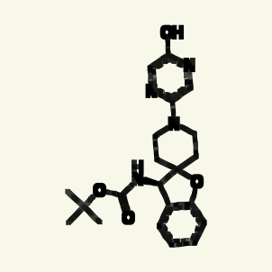 CC(C)(C)OC(=O)N[C@@H]1c2ccccc2OC12CCN(c1cnc(O)cn1)CC2